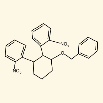 O=[N+]([O-])c1ccccc1[C]1CCCC(OCc2ccccc2)C1c1ccccc1[N+](=O)[O-]